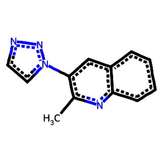 Cc1nc2ccccc2cc1-n1ccnn1